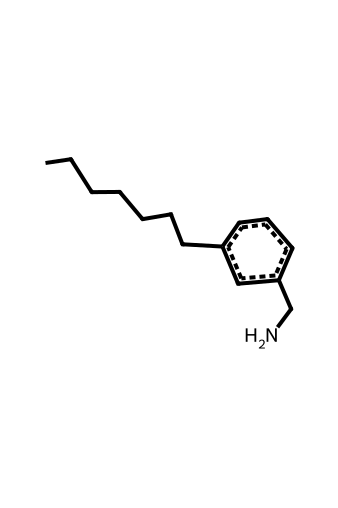 CCCCCCCc1cccc(CN)c1